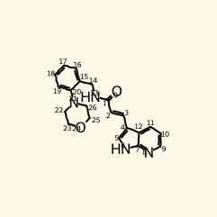 O=C(C=Cc1c[nH]c2ncccc12)NCc1ccccc1N1CCOCC1